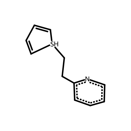 C1=C[SH](CCc2ccccn2)C=C1